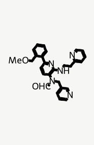 COCc1ccccc1-c1ccc(N(C=O)Cc2cccnc2)c(NCCc2ccccn2)n1